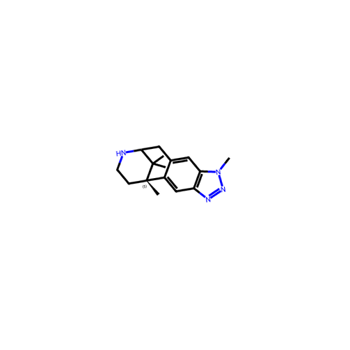 Cn1nnc2cc3c(cc21)CC1NCC[C@]3(C)C1(C)C